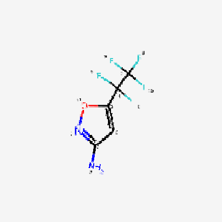 Nc1cc(C(F)(F)C(F)(F)F)on1